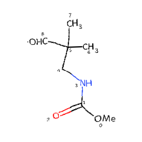 COC(=O)NCC(C)(C)[C]=O